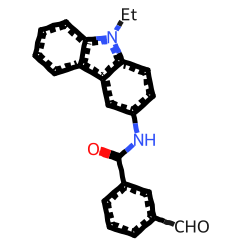 CCn1c2ccccc2c2cc(NC(=O)c3cccc(C=O)c3)ccc21